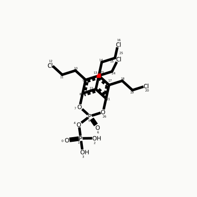 O=P(O)(O)OP1(=O)Oc2c(CCCl)c(CCCl)c(CCCl)c(c2CCCl)O1